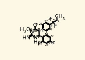 CCC(F)(F)c1ccc([C@H]2C(=O)N(C)C(=N)N[C@@H]2c2ccc(F)cc2F)cc1